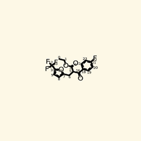 CCOC(=O)C(Cc1ccc(C(F)(F)F)o1)C(=O)c1ccc(F)cc1